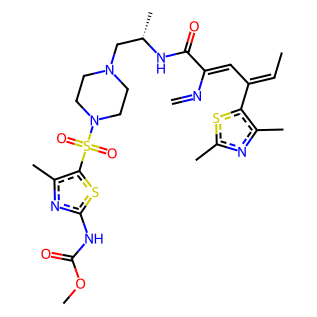 C=N/C(=C\C(=C/C)c1sc(C)nc1C)C(=O)N[C@@H](C)CN1CCN(S(=O)(=O)c2sc(NC(=O)OC)nc2C)CC1